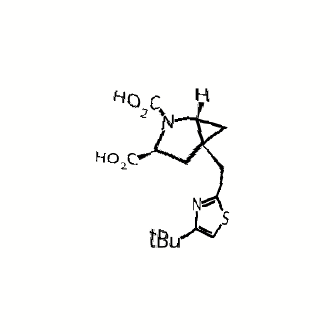 CC(C)(C)c1csc(C[C@@]23C[C@@H](C(=O)O)N(C(=O)O)[C@@H]2C3)n1